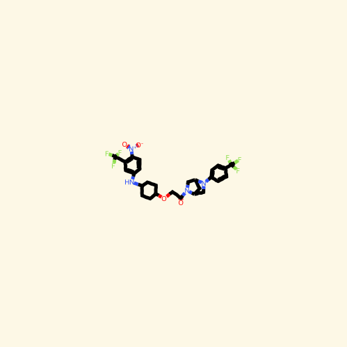 O=C(COC1CCC(Nc2ccc([N+](=O)[O-])c(C(F)(F)F)c2)CC1)N1CC2CC1CN2c1ccc(C(F)(F)F)cc1